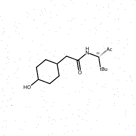 CC(=O)[C@@H](NC(=O)CC1CCC(O)CC1)C(C)(C)C